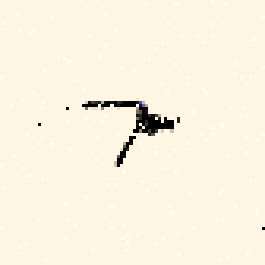 CCCCCCCCCCCCCC/C=C\OC[C@H](COP(=O)([O-])OCC[N+](C)(C)C)OC(=O)CCCCCCCCCCCCC